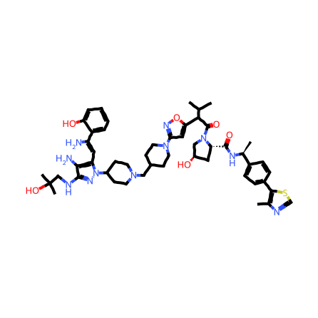 Cc1ncsc1-c1ccc([C@H](C)NC(=O)[C@@H]2C[C@@H](O)CN2C(=O)C(c2cc(N3CCC(CN4CCC(n5nc(NCC(C)(C)O)c(N)c5/C=C(\N)c5ccccc5O)CC4)CC3)no2)C(C)C)cc1